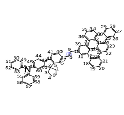 CCC1(CC)c2cc(/C=C/c3ccc(-c4c(-c5ccccc5)ccc(-c5ccccc5)c4-c4ccccc4)cc3)ccc2-c2ccc(N(c3ccccc3)c3ccccc3)cc21